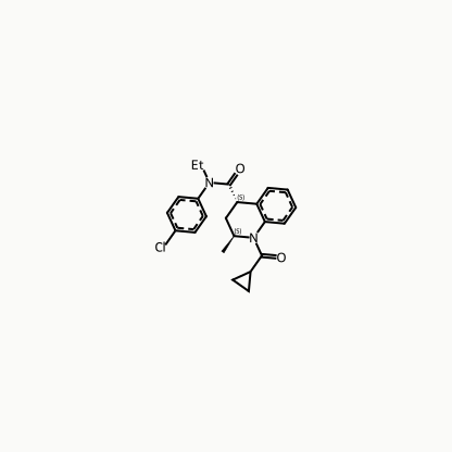 CCN(C(=O)[C@H]1C[C@H](C)N(C(=O)C2CC2)c2ccccc21)c1ccc(Cl)cc1